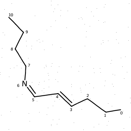 CCC/C=C/C=N\CCCC